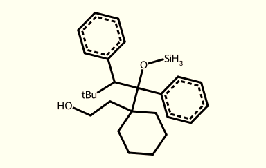 CC(C)(C)C(c1ccccc1)C(O[SiH3])(c1ccccc1)C1(CCO)CCCCC1